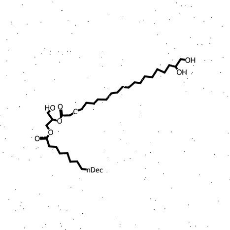 CCCCCCCCCCCCCCCCCC(=O)OCC(CO)OC(=O)CCCCCCCCCCCCCCCCCCC(O)CO